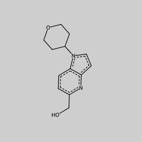 OCc1ccc2c(ccn2C2CCOCC2)n1